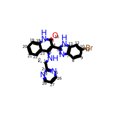 C[C@H](Nc1c(-c2nc3ccc(Br)cc3[nH]2)c(=O)[nH]c2ccccc12)c1ncccn1